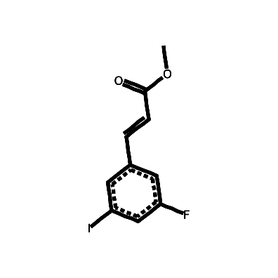 COC(=O)/C=C/c1cc(F)cc(I)c1